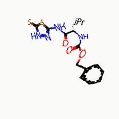 CC(C)[C@H](NC(=O)OCc1ccccc1)C(=O)Nc1n[nH]c(=S)s1